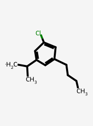 [CH2]C(C)c1cc(Cl)cc(CCCC)c1